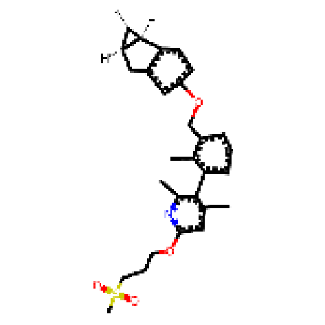 Cc1cc(OCCCS(C)(=O)=O)nc(C)c1-c1cccc(COc2ccc3c(c2)C[C@H]2[C@H](C)[C@@H]32)c1C